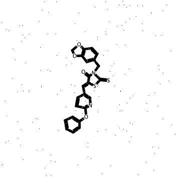 O=C1C(=Cc2ccc(Oc3ccccc3)nc2)SC(=S)N1Cc1ccc2c(c1)OCO2